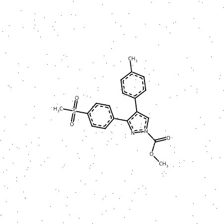 COC(=O)n1[c]c(-c2ccc(C)cc2)c(-c2ccc(S(C)(=O)=O)cc2)n1